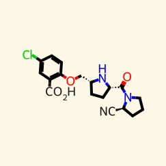 N#C[C@@H]1CCCN1C(=O)[C@@H]1CC[C@H](COc2ccc(Cl)cc2C(=O)O)N1